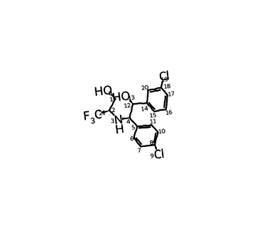 OC[C@@H](N[C@H](c1ccc(Cl)cc1)[C@@H](O)c1cccc(Cl)c1)C(F)(F)F